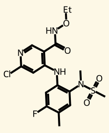 CCONC(=O)c1cnc(Cl)cc1Nc1cc(F)c(C)cc1N(C)S(C)(=O)=O